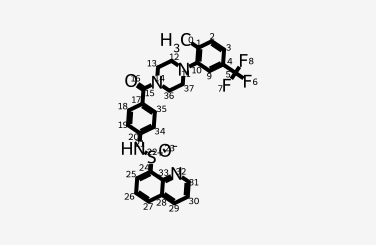 Cc1ccc(C(F)(F)F)cc1N1CCN(C(=O)c2ccc(N[S+]([O-])c3cccc4cccnc34)cc2)CC1